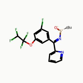 CC(C)(C)[S@@+]([O-])/N=C(\c1cc(F)cc(OC(F)(F)C(F)F)c1)c1ccccn1